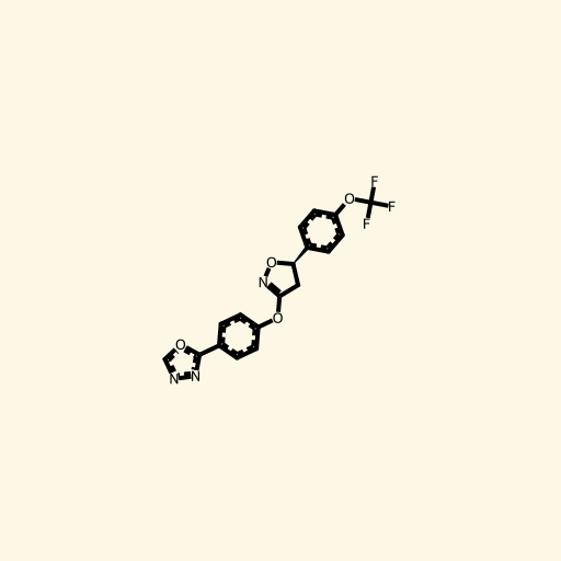 FC(F)(F)Oc1ccc([C@H]2CC(Oc3ccc(-c4nnco4)cc3)=NO2)cc1